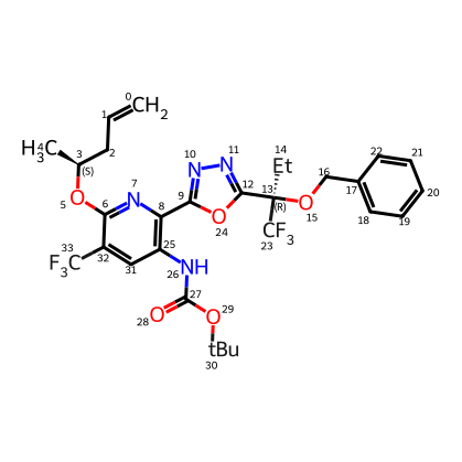 C=CC[C@H](C)Oc1nc(-c2nnc([C@@](CC)(OCc3ccccc3)C(F)(F)F)o2)c(NC(=O)OC(C)(C)C)cc1C(F)(F)F